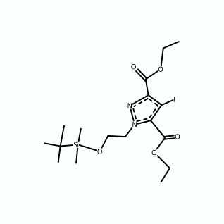 CCOC(=O)c1nn(CCO[Si](C)(C)C(C)(C)C)c(C(=O)OCC)c1I